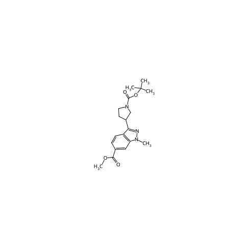 COC(=O)c1ccc2c(C3CCN(C(=O)OC(C)(C)C)C3)nn(C)c2c1